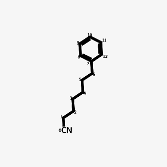 N#CCCCCCCc1ccccc1